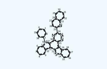 c1ccc(-n2c3ccccc3c3c4sc5ccccc5c4c4nnc(-c5ccc6ccccc6n5)nc4c32)cc1